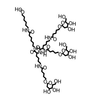 O=C(CCCCCNC(=O)C(CCCCNC(=O)CCCCOC1CC(O)C(O)C(CO)O1)NC(=O)C(CCCCNC(=O)CCCCOC1CC(O)C(O)C(CO)O1)NC(=O)CCCCOC1CC(O)C(O)C(CO)O1)NCCCCCCOO